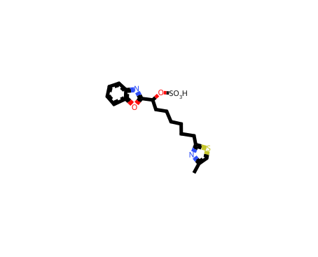 Cc1csc(CCCCCCC(OS(=O)(=O)O)c2nc3ccccc3o2)n1